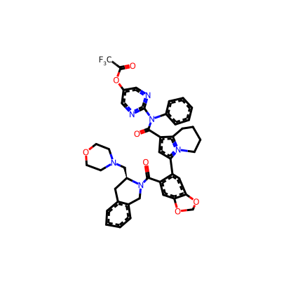 O=C(c1cc(-c2cc3c(cc2C(=O)N2Cc4ccccc4C[C@H]2CN2CCOCC2)OCO3)n2c1CCCC2)N(c1ccccc1)c1ncc(OC(=O)C(F)(F)F)cn1